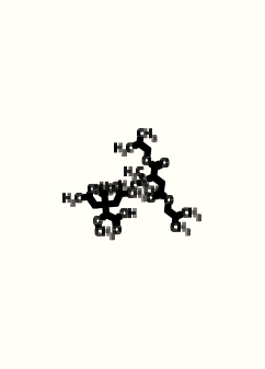 CC(C)COC(=O)CC(C(=O)OCC(C)C)[Si](C)(C)C.COC(C(=O)O)C(CC(C)C)(CC(C)C)C(=O)O